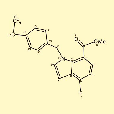 COC(=O)c1ccc(F)c2ccn(Cc3ccc(OC(F)(F)F)cc3)c12